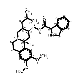 COc1cc2c(cc1OC)[C@H]1C[C@@H](COC(=O)C3NCc4ccccc43)[C@H](CC(C)C)CN1CC2